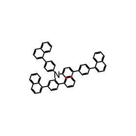 c1ccc(-c2ccc(-c3cccc4ccccc34)cc2N(c2ccc(-c3ccc(-c4cccc5ccccc45)cc3)cc2)c2ccc(-c3cccc4ccccc34)cc2)cc1